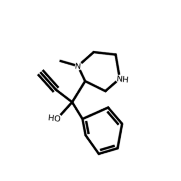 C#CC(O)(c1ccccc1)C1CNCCN1C